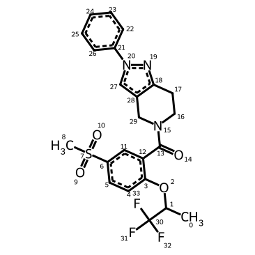 CC(Oc1ccc(S(C)(=O)=O)cc1C(=O)N1CCc2nn(-c3ccccc3)cc2C1)C(F)(F)F